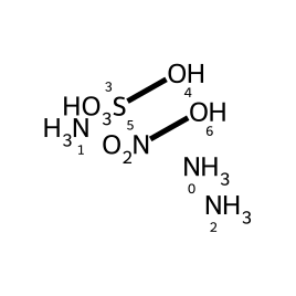 N.N.N.O=S(=O)(O)O.O=[N+]([O-])O